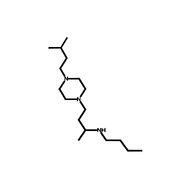 CCCCNC(C)CCN1CCN(CCC(C)C)CC1